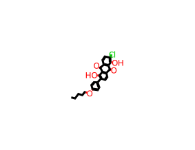 CCCCCOc1ccc(-c2ccc3c(c2O)C(=O)c2ccc(Cl)c(O)c2C3=O)cc1